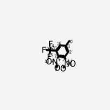 Cc1cc([N+](=O)[O-])c([N+](=O)[O-])c(C(F)(F)F)c1